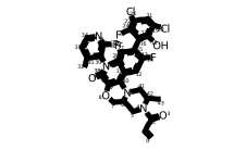 C=CC(=O)N1CC2COc3c(c4cc(F)c(-c5c(O)c(Cl)cc(Cl)c5F)c(F)c4n(-c4c(C)ccnc4C(C)C)c3=O)N2CC1C